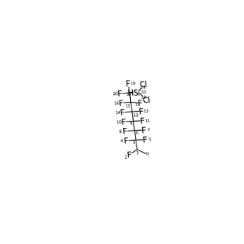 CC(F)C(F)(F)C(F)(F)C(F)(F)C(F)(F)C(F)(F)C(F)(F)[SiH](Cl)Cl